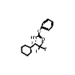 O=C(N[C@@H](C1CCCCC1)C(F)(F)F)Oc1ccccc1